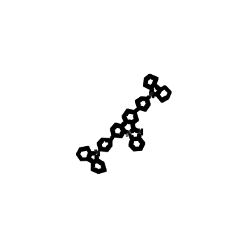 C1=Cc2c(c3ccccc3n2-c2ccc(-c3ccc4c5ccc(-c6ccc(-n7c8c(c9ccccc97)CCC=C8)cc6)cc5n5c6ccccc6nc5c4c3)cc2)CC1